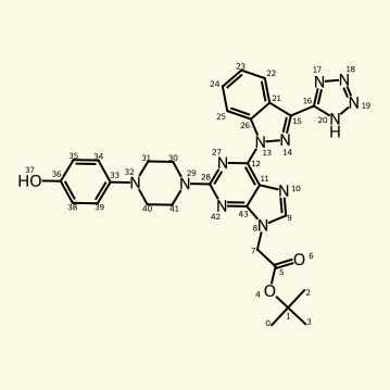 CC(C)(C)OC(=O)Cn1cnc2c(-n3nc(-c4nnn[nH]4)c4ccccc43)nc(N3CCN(c4ccc(O)cc4)CC3)nc21